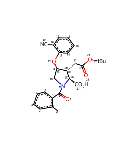 Cc1ccccc1C(=O)N1C[C@@H](Oc2ccccc2C#N)[C@H](CC(=O)OC(C)(C)C)[C@H]1C(=O)O